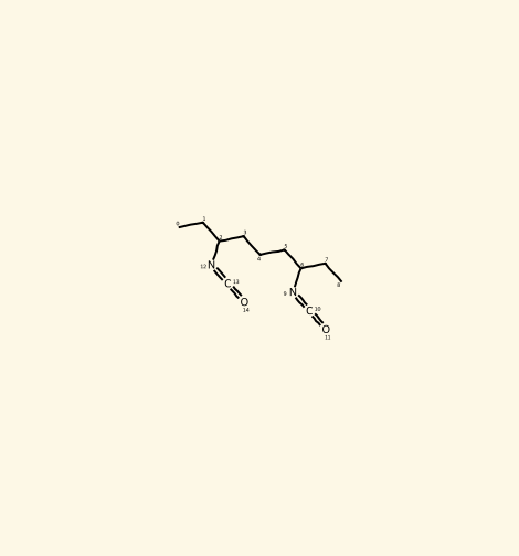 CCC(CCCC(CC)N=C=O)N=C=O